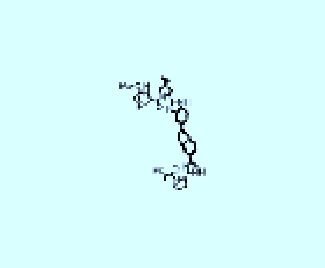 COC(=O)N[C@H](C(=O)N1CC2(CC2)C[C@H]1c1nc2cc(-c3ccc4cc(-c5c[nH]c([C@@H]6CCCN6C(=O)[C@@H](C)C(C)C)n5)ccc4c3)ccc2[nH]1)C(C)C